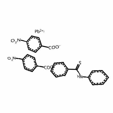 O=C([O-])c1ccc([N+](=O)[O-])cc1.O=C([O-])c1ccc([N+](=O)[O-])cc1.S=C(Nc1ccccc1)c1ccccc1.[Pb+2]